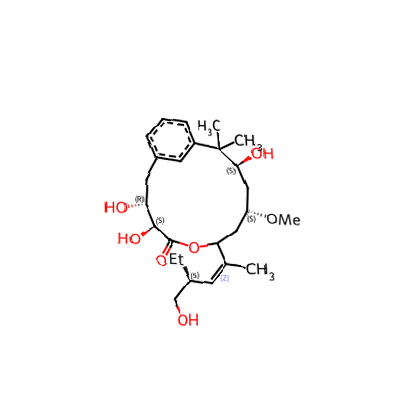 CC[C@@H](/C=C(/C)C1C[C@@H](OC)C[C@H](O)C(C)(C)c2cccc(c2)C[C@@H](O)[C@H](O)C(=O)O1)CO